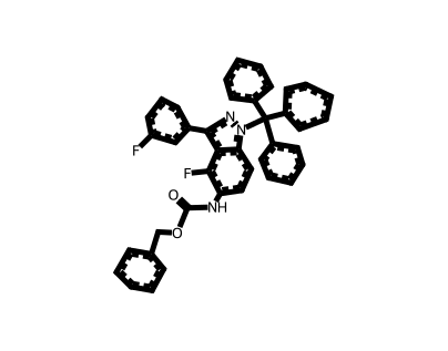 O=C(Nc1ccc2c(c(-c3cccc(F)c3)nn2C(c2ccccc2)(c2ccccc2)c2ccccc2)c1F)OCc1ccccc1